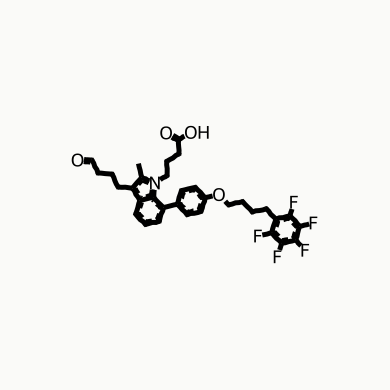 Cc1c(CCCC=O)c2cccc(-c3ccc(OCCCCc4c(F)c(F)c(F)c(F)c4F)cc3)c2n1CCCC(=O)O